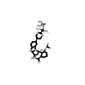 CC(C)(OP(=O)(O)O)c1ncc(-c2ccc3nc4n(c3c2)[C@@H]2C[C@@H]4NC(=O)c3cccc(OC(F)F)c32)cn1